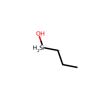 CC[CH][SiH2]O